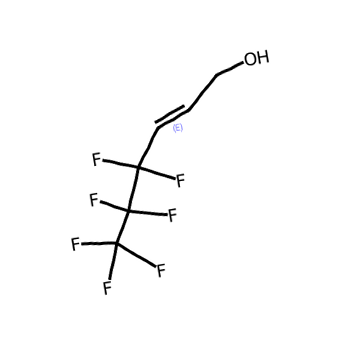 OC/C=C/C(F)(F)C(F)(F)C(F)(F)F